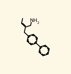 C/C=C(\CN)Cc1ccc(-c2ccccc2)cc1